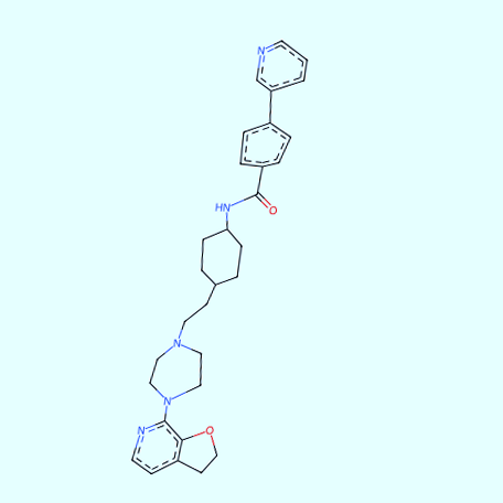 O=C(NC1CCC(CCN2CCN(c3nccc4c3OCC4)CC2)CC1)c1ccc(-c2cccnc2)cc1